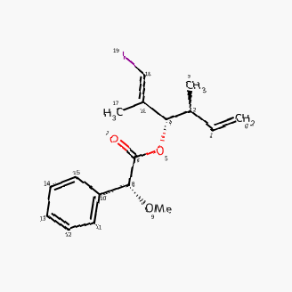 C=C[C@H](C)[C@H](OC(=O)[C@H](OC)c1ccccc1)/C(C)=C/I